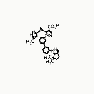 Cn1cc(C2CC2c2c(C(=O)O)cnn2-c2cccc(-c3cccc(-n4ncc5c4C(C)(C)CC5)c3)c2)nn1